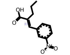 CCC/C(=C\c1cccc([N+](=O)[O-])c1)C(=O)O